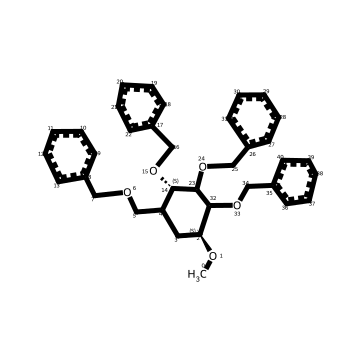 CO[C@H]1CC(COCc2ccccc2)[C@H](OCc2ccccc2)C(OCc2ccccc2)C1OCc1ccccc1